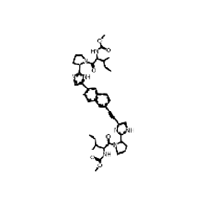 CCC(C)C(NC(=O)OC)C(=O)N1CCCC1c1nc(C#Cc2ccc3cc(-c4cnc(C5CCCN5C(=O)C(NC(=O)OC)C(C)CC)[nH]4)ccc3c2)c[nH]1